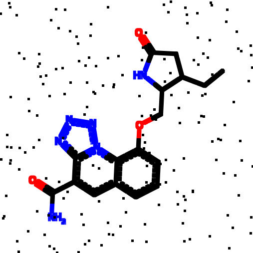 CCC1CC(=O)NC1COc1cccc2cc(C(N)=O)c3nnnn3c12